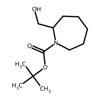 CC(C)(C)OC(=O)N1CCCCCC1CO